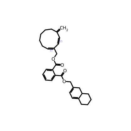 C=C1/C=C\C(COC(=O)c2ccccc2C(=O)OCC2=CC=C3CCCCC3C2)=C/CCCCC1